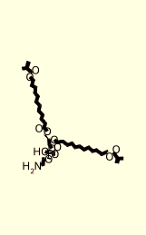 C=C(C)C(=O)OCCCCCCCCCCCC(=O)OC[C@H](COP(=O)(O)OCCN)OC(=O)CCCCCCCCCCCOC(=O)C(=C)C